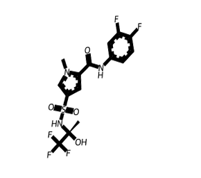 Cn1cc(S(=O)(=O)N[C@](C)(O)C(F)(F)F)cc1C(=O)Nc1ccc(F)c(F)c1